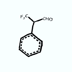 O=CC(c1ccccc1)C(F)(F)F